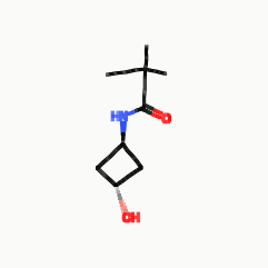 CC(C)(C)C(=O)N[C@H]1C[C@H](O)C1